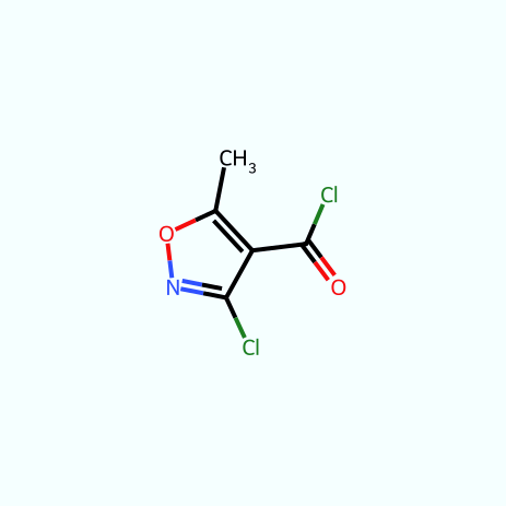 Cc1onc(Cl)c1C(=O)Cl